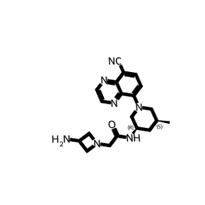 C[C@H]1C[C@@H](NC(=O)CN2CC(N)C2)CN(c2ccc(C#N)c3nccnc23)C1